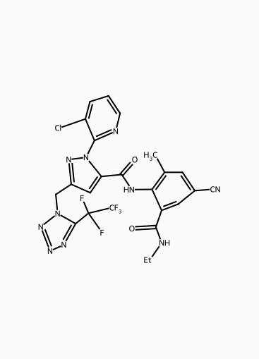 CCNC(=O)c1cc(C#N)cc(C)c1NC(=O)c1cc(Cn2nnnc2C(F)(F)C(F)(F)F)nn1-c1ncccc1Cl